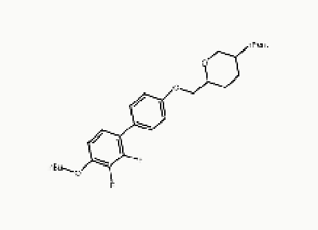 CCCCCC1CCC(COc2ccc(-c3ccc(OCCCC)c(F)c3F)cc2)OC1